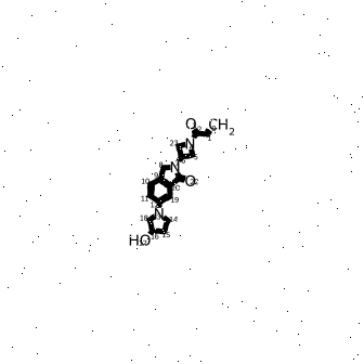 C=CC(=O)N1CC(N2Cc3ccc(N4CCC(O)C4)cc3C2=O)C1